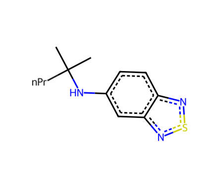 CCCC(C)(C)Nc1ccc2nsnc2c1